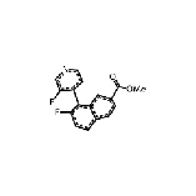 COC(=O)c1ccc2ccc(F)c(-c3ccncc3F)c2c1